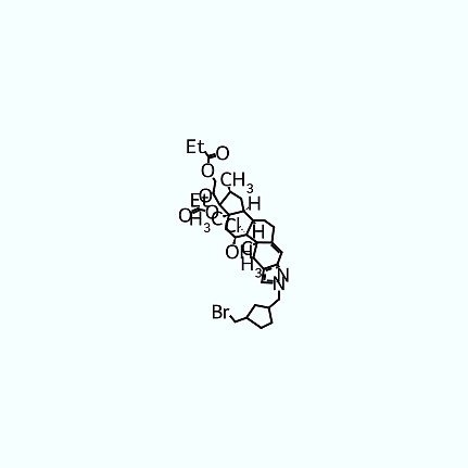 CCC(=O)OCC(=O)[C@@]1(OC(=O)CC)[C@@H](C)C[C@H]2[C@@H]3CCC4=Cc5nn(CC6CCC(CBr)C6)cc5C[C@]4(C)[C@@]3(Cl)[C@@H](O)C[C@@]21C